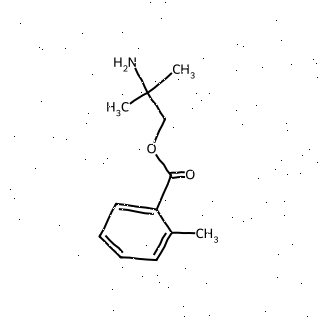 Cc1ccccc1C(=O)OCC(C)(C)N